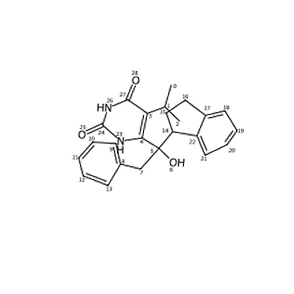 CC(C)c1c(C(O)(Cc2ccccc2)C2CCc3ccccc32)[nH]c(=O)[nH]c1=O